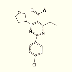 CCc1nc(-c2ccc(Cl)cc2)nc(C2CCOC2)c1C(=O)OC